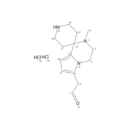 CN1CCn2c(CC=O)ccc2C12CCNCC2.Cl.Cl